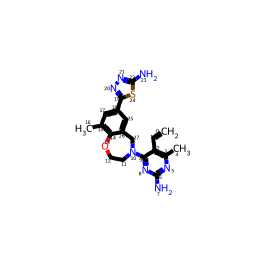 C=Cc1c(C)nc(N)nc1N1CCOc2c(C)cc(-c3nnc(N)s3)cc2C1